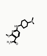 COc1nc(NC2CCC(N(C)C)CC2)ccc1C(N)=O